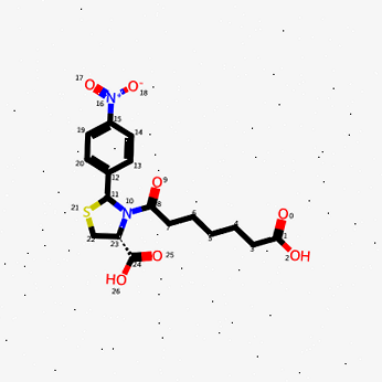 O=C(O)CCCCCC(=O)N1C(c2ccc([N+](=O)[O-])cc2)SC[C@H]1C(=O)O